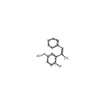 CC(=Cc1ccccc1)c1cc(CC(C)C)ccc1O